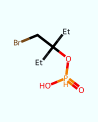 CCC(CC)(CBr)O[PH](=O)O